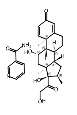 C[C@@H]1C[C@H]2[C@@H]3CCC4=CC(=O)C=C[C@]4(C)[C@@]3(F)[C@@H](O)C[C@]2(C)[C@@]1(O)C(=O)CO.NC(=O)c1cccnc1